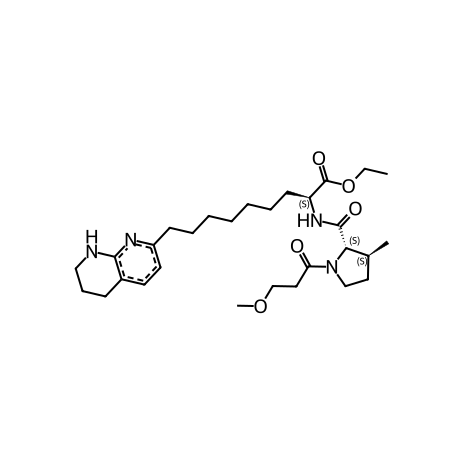 CCOC(=O)[C@H](CCCCCCCc1ccc2c(n1)NCCC2)NC(=O)[C@@H]1[C@@H](C)CCN1C(=O)CCOC